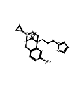 COc1ccc2c(c1)[C@@]1(CCCc3ccco3)CCN(C3CC3)C(C2)[C@@H]1C